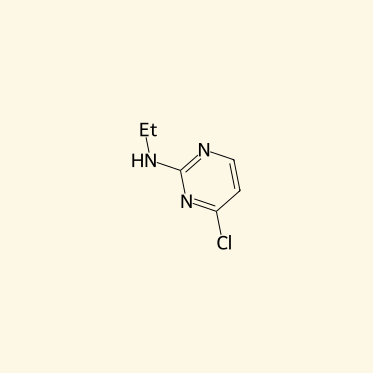 [CH2]CNc1nccc(Cl)n1